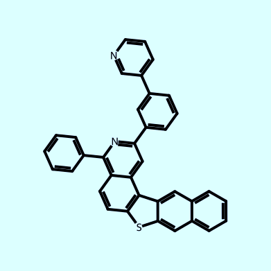 c1ccc(-c2nc(-c3cccc(-c4cccnc4)c3)cc3c2ccc2sc4cc5ccccc5cc4c23)cc1